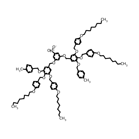 CCCCCCCCOc1ccc(COc2cc(COc3cc(OCc4cc(OCc5ccc(C)cc5)c(OCc5ccc(OCCCCCCCC)cc5)c(OCc5ccc(OCCCCCCCC)cc5)c4)cc([N+](=O)[O-])c3)cc(OCc3ccc(C)cc3)c2OCc2ccc(OCCCCCCCC)cc2)cc1